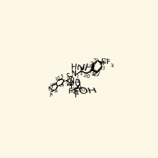 N[C@H](CNc1nnc(-c2ccc3cnc(F)cc3c2)s1)Cc1ccc(C(F)(F)F)cc1.O=C(O)C(F)(F)F